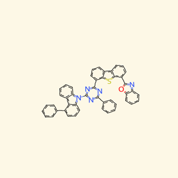 c1ccc(-c2nc(-c3cccc4c3sc3c(-c5nc6ccccc6o5)cccc34)nc(-n3c4ccccc4c4c(-c5ccccc5)cccc43)n2)cc1